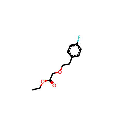 CCOC(=O)COCCc1ccc(F)cc1